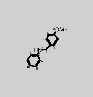 COc1ccc(CNc2cc[c]cc2)cc1